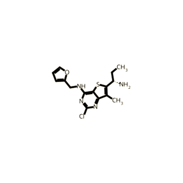 CC[C@H](N)c1sc2c(NCc3ccco3)nc(Cl)nc2c1C